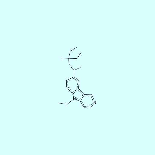 CCn1c2ccncc2c2cc(C(C)CC(C)(CC)CC)ccc21